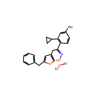 CC(C)(C)c1ccc(/C(Cc2coc(Cc3ccccc3)c2)=N/O)c(C2CC2)c1.CCOCC